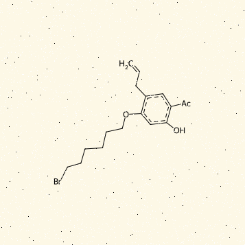 C=CCc1cc(C(C)=O)c(O)cc1OCCCCCCBr